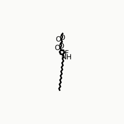 CCCCCCCCCCCCCCCCNc1ccc(C(=O)O/C=C/C(=O)OCC)cc1F